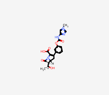 C[C@@H](O)[C@H]1C(=O)N2C(C(=O)O)=C(c3cccc(OC(=O)Nc4cn(C)cn4)c3)C[C@H]12